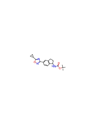 CC(C)(C)OC(=O)N[C@@H]1CCc2cc(-c3noc(C4CC4)n3)ccc21